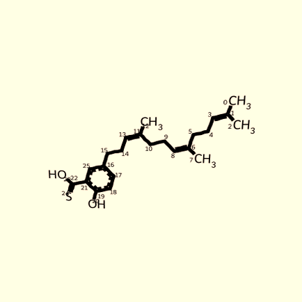 CC(C)=CCCC(C)=CCCC(C)=CCCc1ccc(O)c(C(O)=S)c1